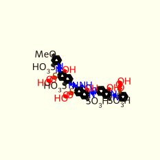 COc1ccc(N=Nc2c(SOOO)cc3c(S(=O)(=O)O)c(N=Nc4c(SOOO)cc5cc(S(=O)(=O)O)c(N=Nc6ccc7c(O)c(N=Nc8ccccc8SOOO)c(S(=O)(=O)O)cc7c6)c(O)c5c4N)ccc3c2O)c(S(=O)(=O)O)c1